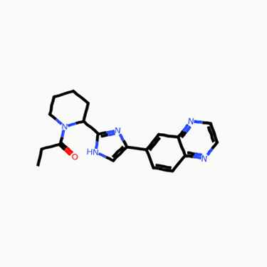 CCC(=O)N1CCCCC1c1nc(-c2ccc3nccnc3c2)c[nH]1